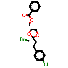 O=C(OC[C@@H]1CO[C@@](CBr)(CCc2ccc(Cl)cc2)O1)c1ccccc1